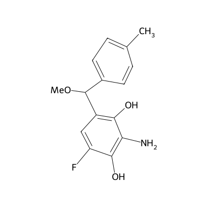 COC(c1ccc(C)cc1)c1cc(F)c(O)c(N)c1O